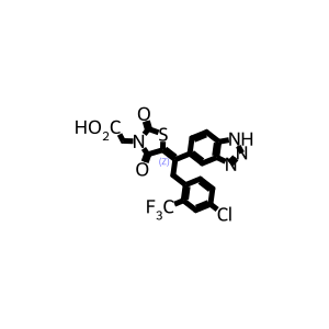 O=C(O)CN1C(=O)S/C(=C(/Cc2ccc(Cl)cc2C(F)(F)F)c2ccc3[nH]nnc3c2)C1=O